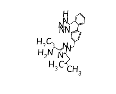 CCC(N)c1nc(CC(C)C)n(Cc2ccc(-c3ccccc3-c3nnn[nH]3)cc2)n1